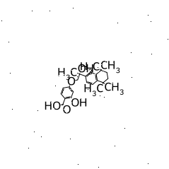 CC1(C)CCC(C)(C)c2cc(C(C)(O)COc3ccc(C(=O)O)c(O)c3)ccc21